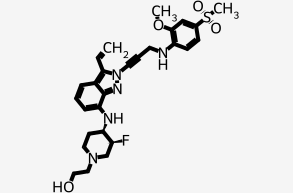 C=Cc1c2cccc(N[C@@H]3CCN(CCO)C[C@@H]3F)c2nn1C#CCNc1ccc(S(C)(=O)=O)cc1OC